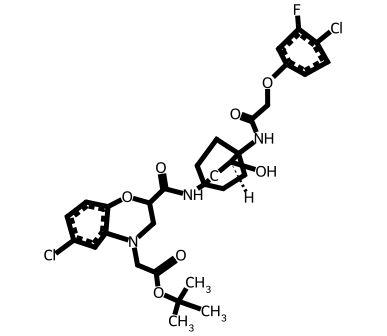 CC(C)(C)OC(=O)CN1CC(C(=O)NC23CCC(NC(=O)COc4ccc(Cl)c(F)c4)(CC2)[C@@H](O)C3)Oc2ccc(Cl)cc21